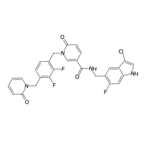 O=C(NCc1cc2c(Cl)c[nH]c2cc1F)c1ccc(=O)n(Cc2ccc(Cn3ccccc3=O)c(F)c2F)c1